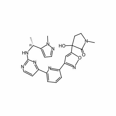 C[C@@H](Nc1nccc(-c2cccc(-c3cc(C4(O)CCN(C)C4=O)on3)n2)n1)c1ccnn1C